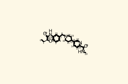 CC[C@@H]1Oc2ccc(CN3CCC(c4ccc(C(=O)NC)nc4)CC3)cc2NC1=O